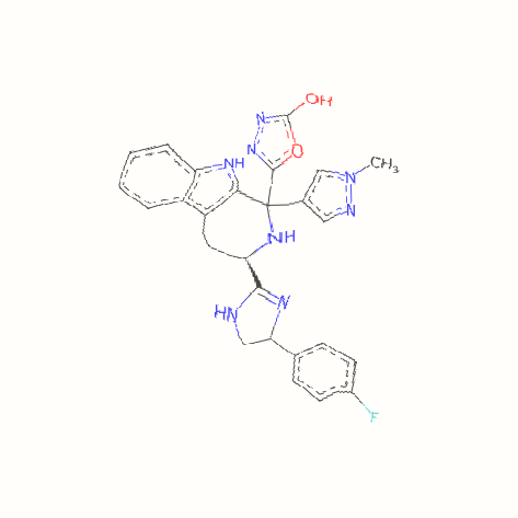 Cn1cc(C2(c3nnc(O)o3)N[C@@H](C3=NC(c4ccc(F)cc4)CN3)Cc3c2[nH]c2ccccc32)cn1